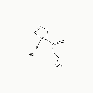 CNCCC(=O)c1sccc1F.Cl